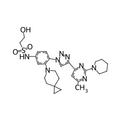 Cc1cc(-c2cn(-c3ccc(NS(=O)(=O)CCO)cc3N3CCC4(CC3)CC4)nn2)nc(N2CCCCC2)n1